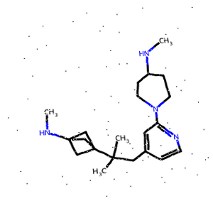 CNC1CCN(c2cc(CC(C)(C)C34CC(NC)(C3)C4)ccn2)CC1